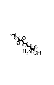 CCOCC(=O)C(=O)CCCCC(N)C(=O)O